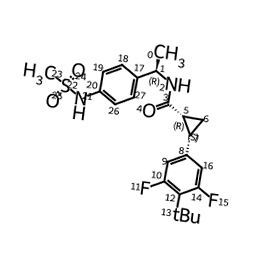 C[C@@H](NC(=O)[C@@H]1C[C@@H]1c1cc(F)c(C(C)(C)C)c(F)c1)c1ccc(NS(C)(=O)=O)cc1